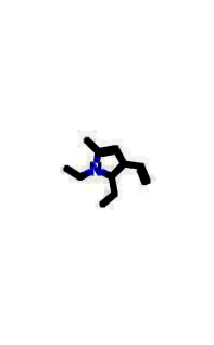 C=CC1C=C(C)N(CC)C1CC